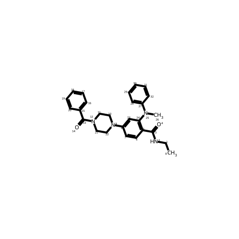 CCNC(=O)c1ccc(N2CCN(C(=O)c3ccccc3)CC2)cc1N(C)c1ccccc1